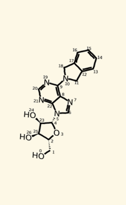 OC[C@H]1O[C@@H](n2cnc3c(N4Cc5ccccc5C4)ncnc32)[C@H](O)[C@@H]1O